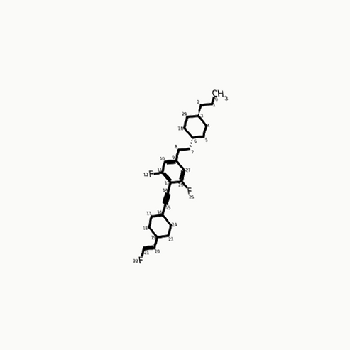 CCC[C@H]1CC[C@H](CCc2cc(F)c(C#CC3CCC(/C=C/F)CC3)c(F)c2)CC1